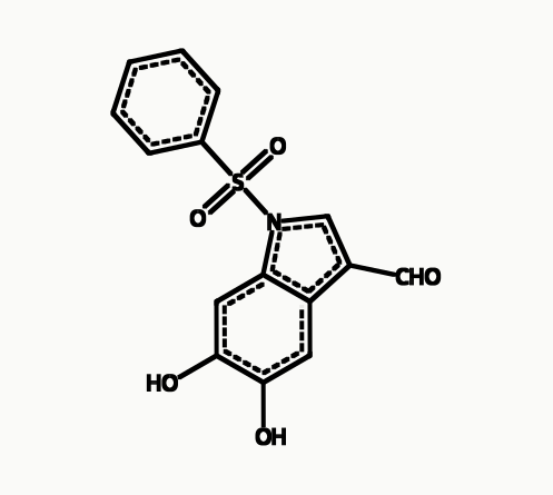 O=Cc1cn(S(=O)(=O)c2ccccc2)c2cc(O)c(O)cc12